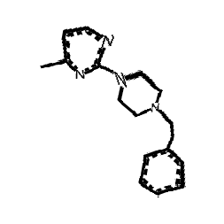 Cc1ccnc(N2CCN(Cc3cc[c]cc3)CC2)n1